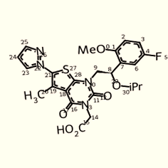 COc1ccc(F)cc1[C@H](Cn1c(=O)n(CC(=O)O)c(=O)c2c(C)c(-n3cccn3)sc21)OC(C)C